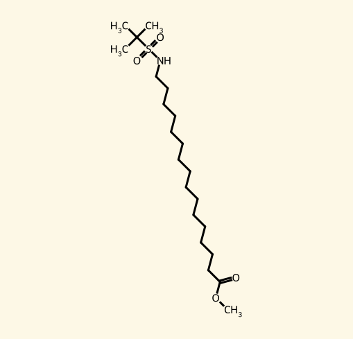 COC(=O)CCCCCCCCCCCCCCCNS(=O)(=O)C(C)(C)C